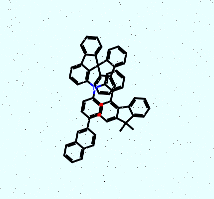 CC1(C)c2ccccc2-c2c(-c3ccccc3N(c3ccc(-c4ccc5ccccc5c4)cc3)c3cccc4c3C3(c5ccccc5-c5ccccc53)c3ccccc3-4)cccc21